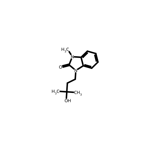 Cn1c(=O)n(CCC(C)(C)O)c2ccccc21